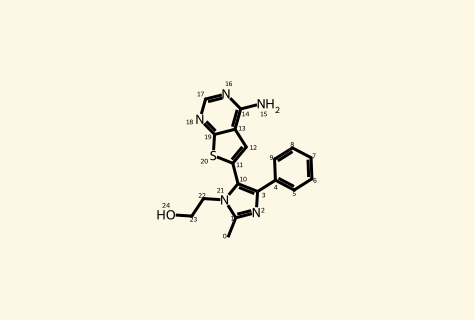 Cc1nc(-c2ccccc2)c(-c2cc3c(N)ncnc3s2)n1CCO